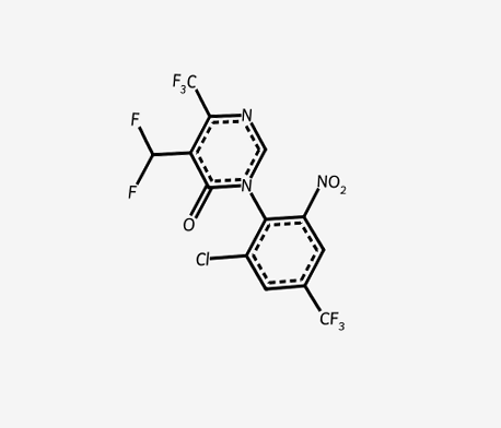 O=c1c(C(F)F)c(C(F)(F)F)ncn1-c1c(Cl)cc(C(F)(F)F)cc1[N+](=O)[O-]